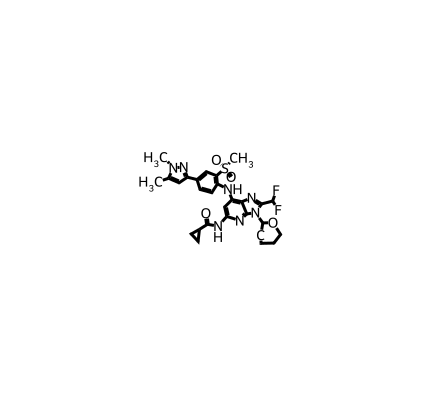 Cc1cc(-c2ccc(Nc3cc(NC(=O)C4CC4)nc4c3nc(C(F)F)n4C3CCCCO3)c(S(C)(=O)=O)c2)nn1C